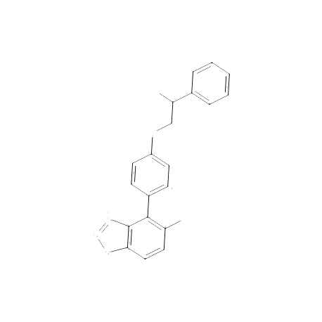 OC(COc1ccc(-c2c(Cl)ccc3[nH]nnc23)cc1)c1ccccc1